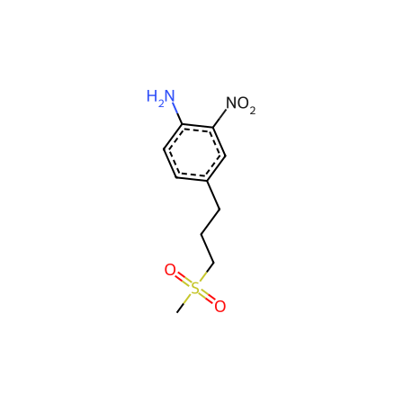 CS(=O)(=O)CCCc1ccc(N)c([N+](=O)[O-])c1